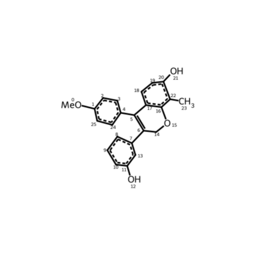 COc1ccc(C2=C(c3cccc(O)c3)COc3c2ccc(O)c3C)cc1